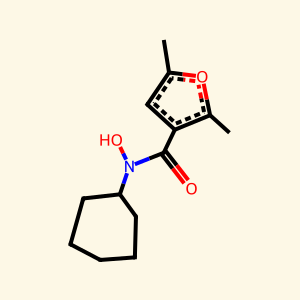 Cc1cc(C(=O)N(O)C2CCCCC2)c(C)o1